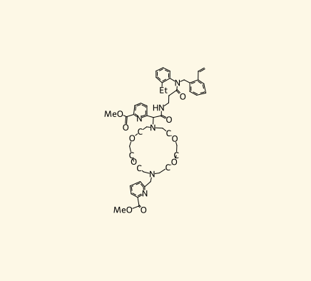 C=Cc1ccccc1CN(C(=O)CCNC(=O)C(c1cccc(C(=O)OC)n1)N1CCOCCOCCN(Cc2cccc(C(=O)OC)n2)CCOCCOCC1)c1ccccc1CC